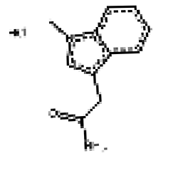 Cl.Cn1cc(CC(N)=O)c2ccccc21